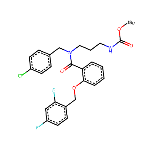 CC(C)(C)OC(=O)NCCCN(Cc1ccc(Cl)cc1)C(=O)c1ccccc1OCc1ccc(F)cc1F